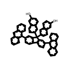 Oc1ccc2cc(C3(c4ccc5cc(O)ccc5c4)c4cc(-c5c6ccccc6cc6ccccc56)ccc4-c4ccc(-c5c6ccccc6cc6ccccc56)cc43)ccc2c1